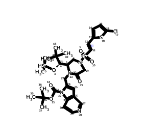 C[SiH](C)O[C@@H](C1CN(S(=O)(=O)/C=C/c2ccc(Cl)s2)CC(=O)N1Cc1cc2cnccc2n1C(=O)OC(C)(C)C)C(C)(C)C